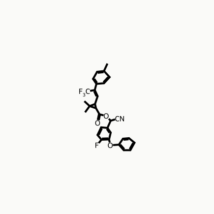 Cc1ccc(C(=CC2C(C(=O)OC(C#N)c3ccc(F)c(Oc4ccccc4)c3)C2(C)C)C(F)(F)F)cc1